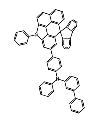 c1ccc(-c2cccc(N(c3ccccc3)c3ccc(-c4cc5c6c7c8c(cccc8ccc7n(-c7ccccc7)c6c4)C54c5ccccc5-c5ccccc54)cc3)c2)cc1